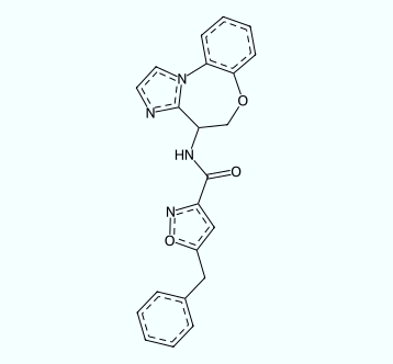 O=C(NC1COc2ccccc2-n2ccnc21)c1cc(Cc2ccccc2)on1